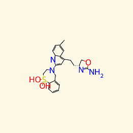 Cc1ccc2nc(N3CCS(O)(O)c4ccccc4C3)cc(CC[C@@H]3COC(N)=N3)c2c1